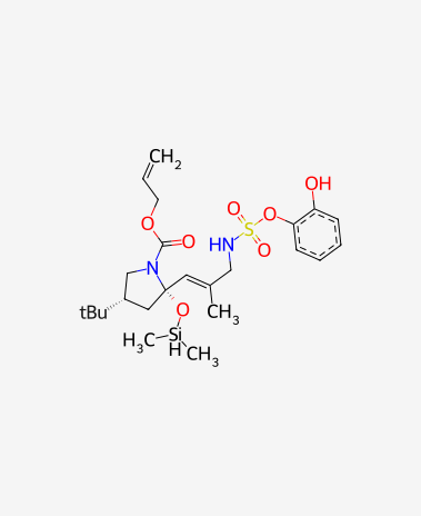 C=CCOC(=O)N1C[C@@H](C(C)(C)C)C[C@@]1(C=C(C)CNS(=O)(=O)Oc1ccccc1O)O[SiH](C)C